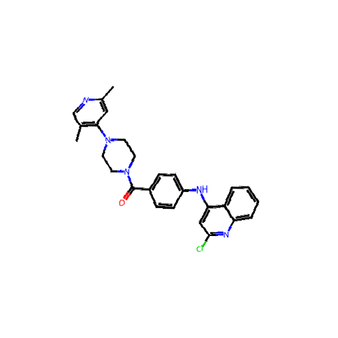 Cc1cc(N2CCN(C(=O)c3ccc(Nc4cc(Cl)nc5ccccc45)cc3)CC2)c(C)cn1